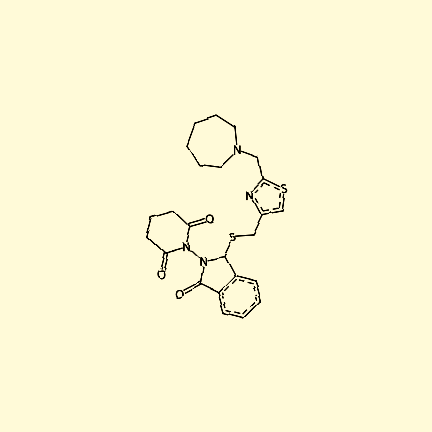 O=C1CCCC(=O)N1N1C(=O)c2ccccc2C1SCc1csc(CN2CCCCCC2)n1